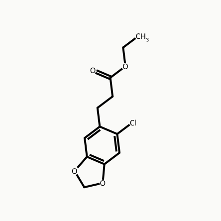 CCOC(=O)CCc1cc2c(cc1Cl)OCO2